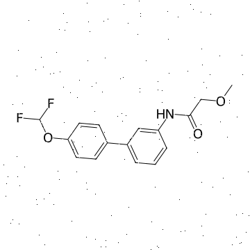 COCC(=O)Nc1cccc(-c2ccc(OC(F)F)cc2)c1